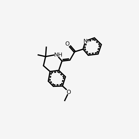 COc1ccc2c(c1)/C(=C/C(=O)c1ccccn1)NC(C)(C)C2